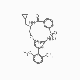 Cc1cccc(C)c1-c1cc2nc(n1)NS(=O)(=O)c1cccc(c1)C(=O)N[C@H](CC1CC1)CO2